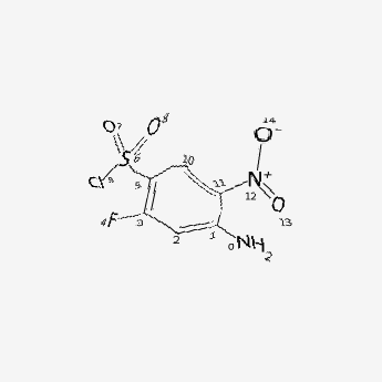 Nc1cc(F)c(S(=O)(=O)Cl)cc1[N+](=O)[O-]